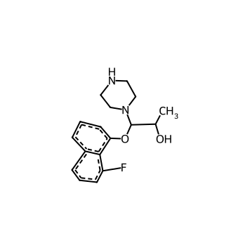 CC(O)C(Oc1cccc2cccc(F)c12)N1CCNCC1